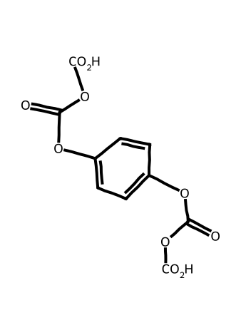 O=C(O)OC(=O)Oc1ccc(OC(=O)OC(=O)O)cc1